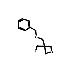 FCC1(COCc2ccccc2)COC1